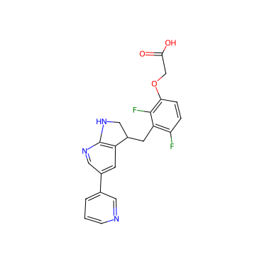 O=C(O)COc1ccc(F)c(CC2CNc3ncc(-c4cccnc4)cc32)c1F